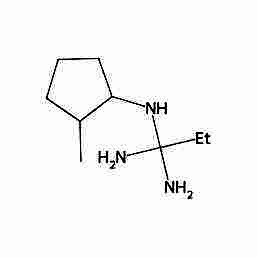 CCC(N)(N)NC1CCCC1C